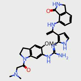 C=C(Nc1cccc2c1C(=O)NC2)c1cc[nH]c1/N=C(\N)Nc1cc2c(cc1OC)CCN2C(=O)CN(C)C